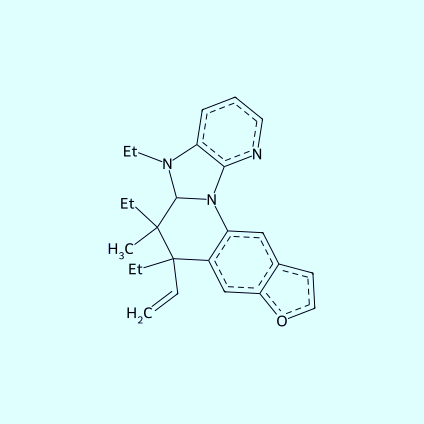 C=CC1(CC)c2cc3occc3cc2N2c3ncccc3N(CC)C2C1(C)CC